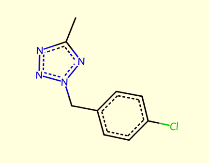 Cc1nnn(Cc2ccc(Cl)cc2)n1